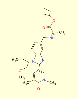 CCC(COC)n1c(-c2cc(C)c(=O)n(C)c2)nc2cc(CN[C@@H](C)C(=O)OC3CCC3)ccc21